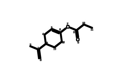 C=C(C)C1CC=C(OC(=O)CC)CC1